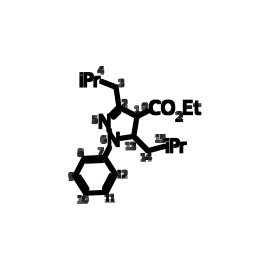 CCOC(=O)C1C(CC(C)C)=NN(c2ccccc2)C1CC(C)C